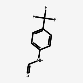 FC(F)(F)c1ccc(NC=S)cc1